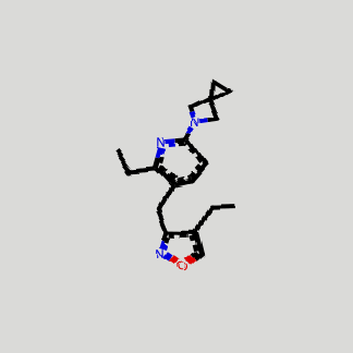 CCc1conc1Cc1ccc(N2CC3(CC3)C2)nc1CC